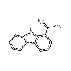 C=C(C)c1cccc2c1[nH]c1ccccc12